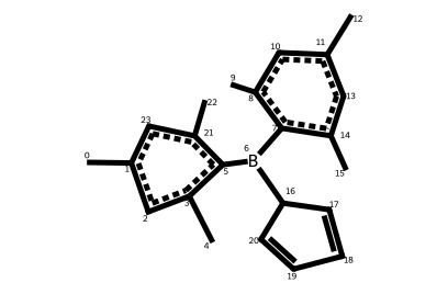 Cc1cc(C)c(B(c2c(C)cc(C)cc2C)C2C=CC=C2)c(C)c1